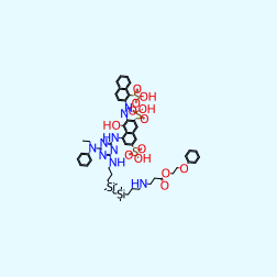 CCN(c1ccccc1)c1nc(NCCC[Si](C)(C)C[Si](C)(C)CCCNCCC(=O)OCCOc2ccccc2)nc(Nc2cc(S(=O)(=O)O)cc3cc(S(=O)(=O)O)c(/N=N/c4ccc5ccccc5c4S(=O)(=O)O)c(O)c23)n1